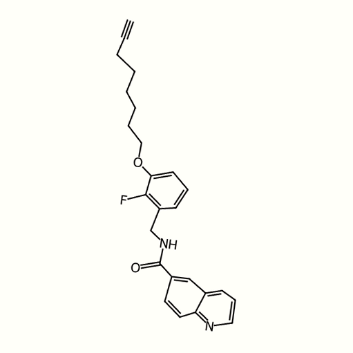 C#CCCCCCCOc1cccc(CNC(=O)c2ccc3ncccc3c2)c1F